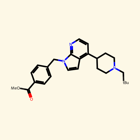 COC(=O)c1ccc(Cn2ccc3c(C4CCN(CC(C)(C)C)CC4)ccnc32)cc1